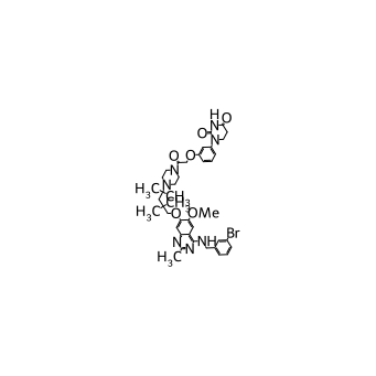 COc1cc2c(NCc3cccc(Br)c3)nc(C)nc2cc1OCC(C)(C)CC(C)(C)N1CCN(C(=O)COc2cccc(N3CCC(=O)NC3=O)c2)CC1